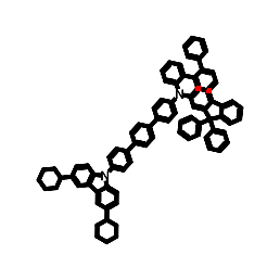 c1ccc(-c2ccccc2-c2ccccc2N(c2ccc(-c3ccc(-c4ccc(-n5c6ccc(C7CCCCC7)cc6c6cc(C7CCCCC7)ccc65)cc4)cc3)cc2)c2ccc3c(c2)C(c2ccccc2)(c2ccccc2)c2ccccc2-3)cc1